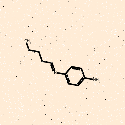 CCCCC=Nc1ccc(N)cc1